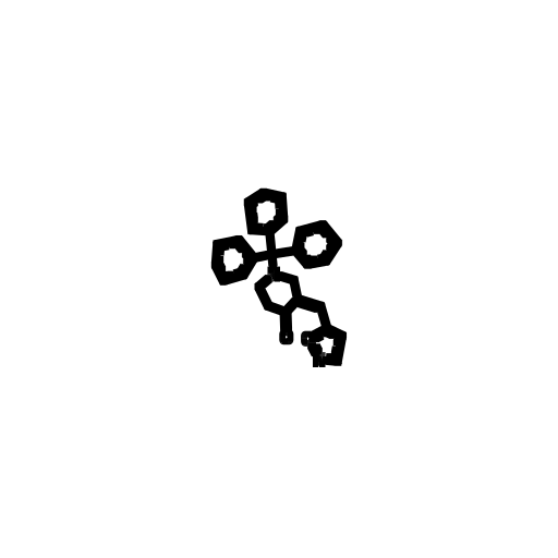 O=C1CCN(C(c2ccccc2)(c2ccccc2)c2ccccc2)CC1=Cc1ccno1